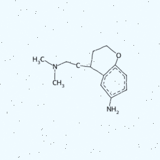 CN(C)CCC1CCOc2ccc(N)cc21